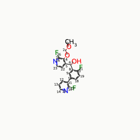 COCOc1c(C(O)c2cc(-c3cccnc3F)ccc2F)ccnc1F